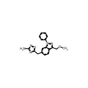 COCc1nn(-c2ccccc2)c2cc(Cc3nc(N)no3)ccc12